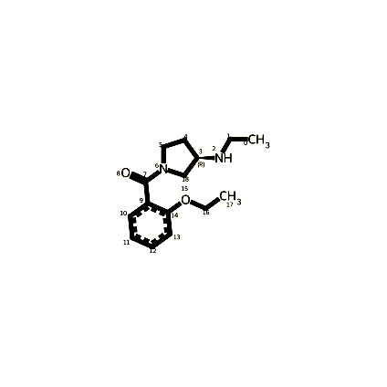 CCN[C@@H]1CCN(C(=O)c2ccccc2OCC)C1